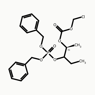 CCC(OP(=O)(OCc1ccccc1)OCc1ccccc1)[C@H](C)OC(=O)OCCl